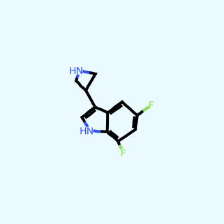 Fc1cc(F)c2[nH]cc(C3CNC3)c2c1